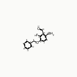 Bc1ccc(OCc2ccccc2)c(F)c1C=O